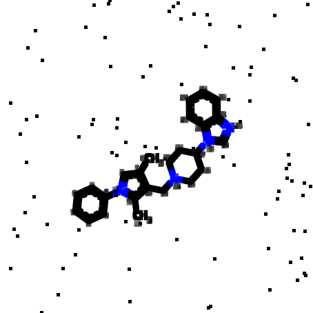 Cc1cn(-c2ccccc2)c(C)c1CN1CCC(n2cnc3ccccc32)CC1